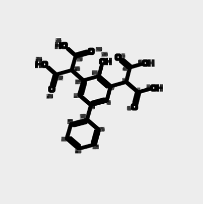 O=C(O)C(C(=O)O)c1cc(-c2ccccc2)cc(C(C(=O)O)C(=O)O)c1O